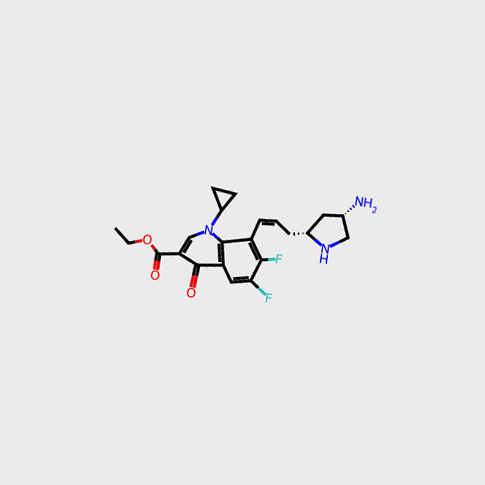 CCOC(=O)c1cn(C2CC2)c2c(/C=C\C[C@@H]3C[C@H](N)CN3)c(F)c(F)cc2c1=O